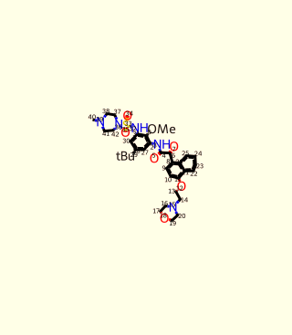 COc1c(NC(=O)C(=O)c2ccc(OCCN3CCOCC3)c3ccccc23)cc(C(C)(C)C)cc1NS(=O)(=O)N1CCN(C)CC1